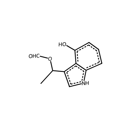 CC(OC=O)c1c[nH]c2cccc(O)c12